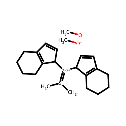 C[O-].C[O-].C[Si](C)=[Zr+2]([CH]1C=CC2=C1CCCC2)[CH]1C=CC2=C1CCCC2